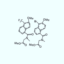 COC(=O)CN(C)C(=O)c1cccc2c(Br)c(OC)ccc12.COC(=O)CN(C)C(=O)c1cccc2c(C(F)(F)F)c(OC)ccc12